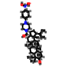 C=C(C)[C@@H]1CC[C@]2(C(=O)N3CCN(c4ccc([N+](=O)[O-])cc4)CC3)CC[C@]3(C)C(CC[C@@H]4[C@@]5(C)CCC(=O)C(C)(C)C5CC[C@]43C)[C@@H]12